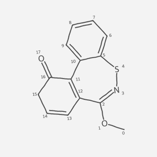 COC1=NSc2ccccc2C2=C1C=CCC2=O